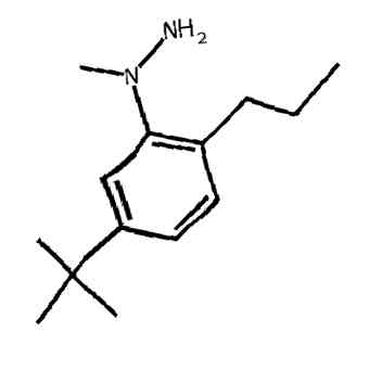 CCCc1ccc(C(C)(C)C)cc1N(C)N